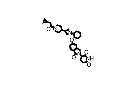 O=C1CCC(N2Cc3cc(O[C@H]4CCCC[C@H]4N4CC(C5CCN(C(=O)CC6CC6)CC5)C4)ccc3C2=O)C(=O)N1